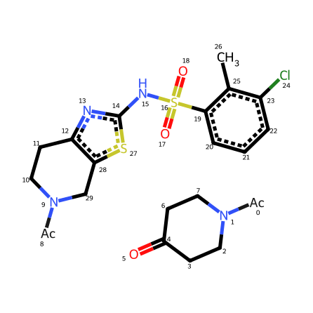 CC(=O)N1CCC(=O)CC1.CC(=O)N1CCc2nc(NS(=O)(=O)c3cccc(Cl)c3C)sc2C1